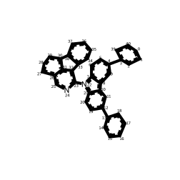 c1ccc(-c2ccc3c(c2)c2cc(-c4ccccc4)ccc2n3-c2ncc3cccc4c3c2-c2ccccc2-4)cc1